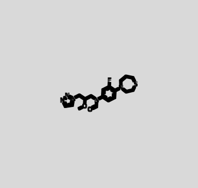 COC(CN(C=O)c1ccc(N2CCCSCC2)c(F)c1)Cn1ccnn1